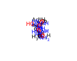 CC(=O)NC1CCCCC1C(=O)N[C@@H](CCCCN)C(=O)NC1CCNCC1C(=O)N[C@@H](Cc1ccc(O)cc1)C(=O)NC1CCCCC1C(=O)N[C@@H](CCC(=O)O)C(=O)NC1CCNCC1C(=O)N[C@@H](C)C(N)=O